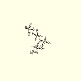 [Hf+4].[O]=[W](=[O])([O-])[O-].[O]=[W](=[O])([O-])[O-].[O]=[W](=[O])([O-])[O-].[O]=[W](=[O])([O-])[O-].[Zr+4]